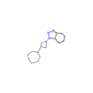 c1ccc2c(c1)nnn2N1CC(N2CCCCCC2)C1